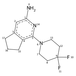 Nc1cc2c(c(N3CCC(F)(F)CC3)n1)CCC2